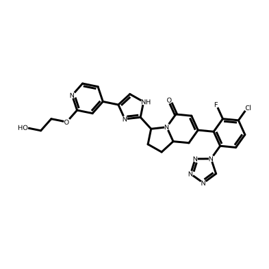 O=C1C=C(c2c(-n3cnnn3)ccc(Cl)c2F)CC2CCC(c3nc(-c4ccnc(OCCO)c4)c[nH]3)N12